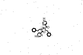 O=C(C1=CCNC=N1)N(CCc1ccccc1)ON(CCc1ccccc1)C(=O)C1=CCNC=N1